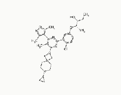 CCC(O)[C@H](N)Oc1ccc(Cl)c(-c2nc(-c3c(C)noc3C)c(C)c(N3CC4(CCN(C5CC5)CC4)C3)n2)c1